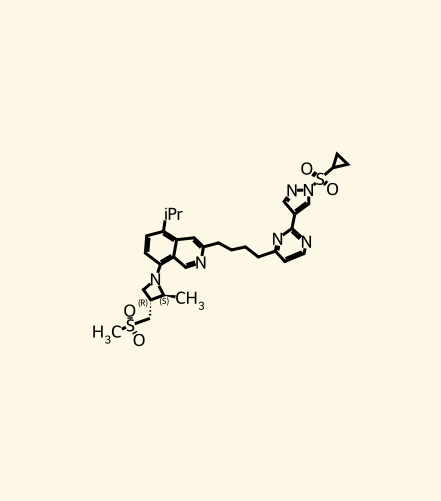 CC(C)c1ccc(N2C[C@@H](CS(C)(=O)=O)[C@@H]2C)c2cnc(CCCCc3ccnc(-c4cnn(S(=O)(=O)C5CC5)c4)n3)cc12